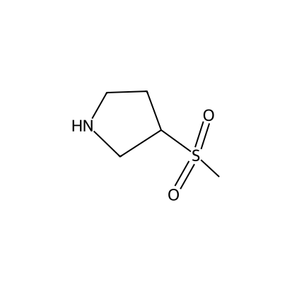 CS(=O)(=O)C1CCNC1